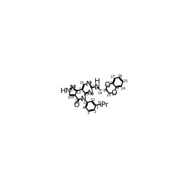 CC(C)c1cccc(-n2c(=O)c3c[nH]nc3c3cnc(NC[C@H]4COc5ccccc5O4)nc32)c1